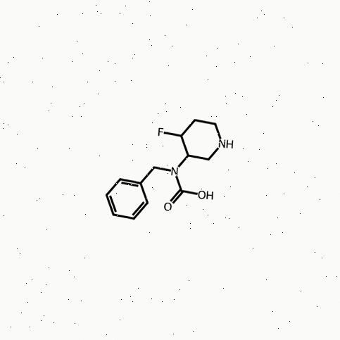 O=C(O)N(Cc1ccccc1)C1CNCCC1F